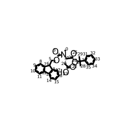 CN(C(=O)OCC1c2ccccc2-c2ccccc21)[C@@H](CC(=O)O)C(=O)OC(C)(C)c1ccccc1